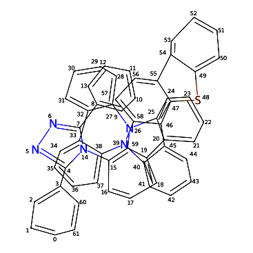 c1ccc(-c2nnc(-c3ccccc3)n2-c2cccc3c4ccccc4n(-c4ccccc4-c4ccccc4-n4c5ccccc5c5c6sc7ccccc7c6ccc54)c23)cc1